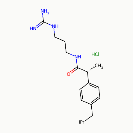 CC(C)Cc1ccc([C@@H](C)C(=O)NCCCNC(=N)N)cc1.Cl